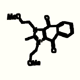 COCCn1c2c([n+](CCOC)c1C)C(=O)c1ccccc1C2=O